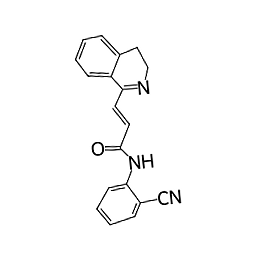 N#Cc1ccccc1NC(=O)C=CC1=NCCc2ccccc21